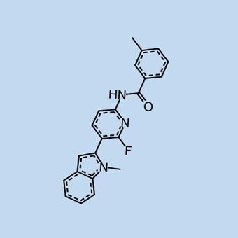 Cc1cccc(C(=O)Nc2ccc(-c3cc4ccccc4n3C)c(F)n2)c1